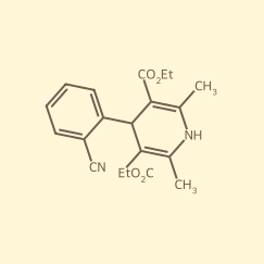 CCOC(=O)C1=C(C)NC(C)=C(C(=O)OCC)C1c1ccccc1C#N